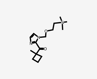 CC1(C(=O)c2nccn2COCC[Si](C)(C)C)CCC1